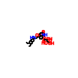 CCc1cc2c(cc1CC)CC(NCC(O)c1ccc(OC(=O)C(O)C(O)C(=O)O)c3[nH]c(=O)ccc13)C2